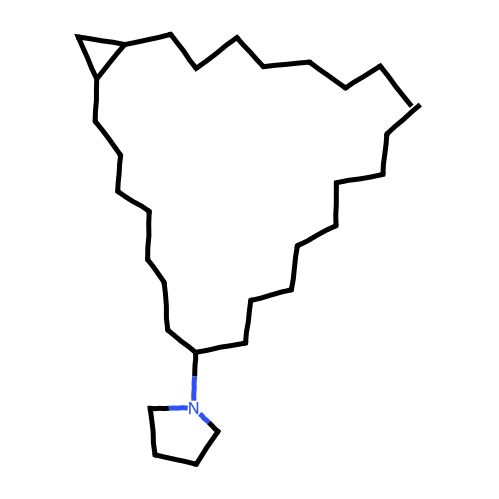 CCCCCCCCCC(CCCCCCCC1CC1CCCCCCCC)N1CCCC1